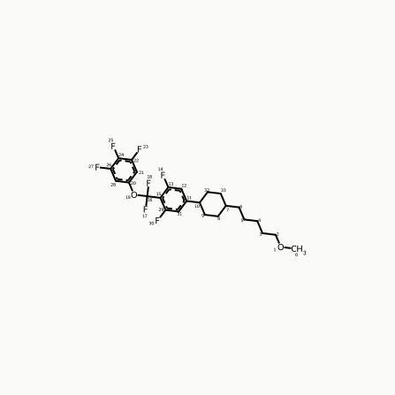 COCCCCCC1CCC(c2cc(F)c(C(F)(F)Oc3cc(F)c(F)c(F)c3)c(F)c2)CC1